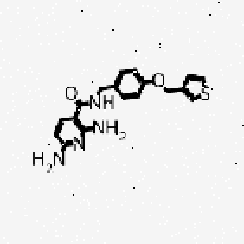 Nc1ccc(C(=O)NCc2ccc(OCc3ccsc3)cc2)c(N)n1